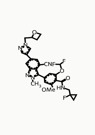 COc1cc(-c2c3c(C#N)cc(-c4cnn(CC5CCO5)c4)cc3nn2C)cc(OC(F)F)c1C(=O)NCC1(F)CC1